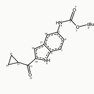 CC(C)(C)OC(=O)Nc1ccc2[nH]c(C(=O)C3CC3)cc2c1